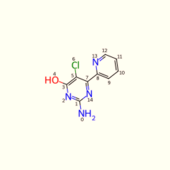 Nc1nc(O)c(Cl)c(-c2ccccn2)n1